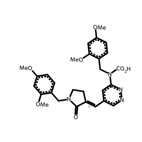 COc1ccc(CN2CC/C(=C\c3cnnc(N(Cc4ccc(OC)cc4OC)C(=O)O)c3)C2=O)c(OC)c1